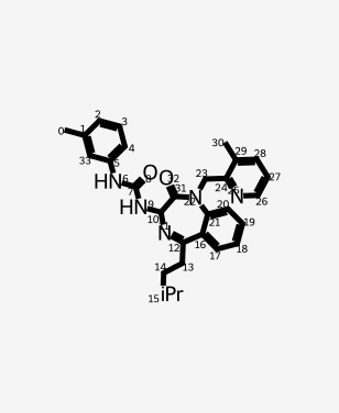 Cc1cccc(NC(=O)NC2N=C(CCC(C)C)c3ccccc3N(Cc3ncccc3C)C2=O)c1